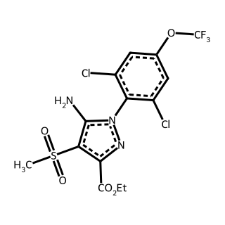 CCOC(=O)c1nn(-c2c(Cl)cc(OC(F)(F)F)cc2Cl)c(N)c1S(C)(=O)=O